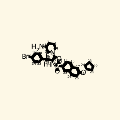 N[C@@H]1CCCN(C(=O)[C@@H](NS(=O)(=O)c2ccc3cc(OC4CCCC4)ccc3c2)C(F)(F)c2ccc(Br)cc2)C1